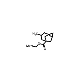 CNCOC(=O)C12CC(C)CC3(CC3C1)C2